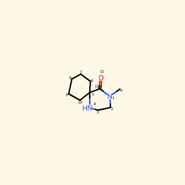 CN1CCNC2(CCCCC2)C1=O